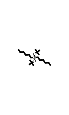 CCCCCC[Si](CCCCCC)(OC(C)(C)C)OC(C)(C)C